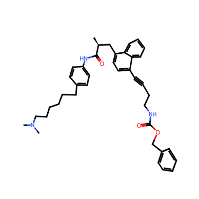 C[C@@H](Cc1ccc(C#CCCNC(=O)OCc2ccccc2)c2ccccc12)C(=O)Nc1ccc(CCCCCCN(C)C)cc1